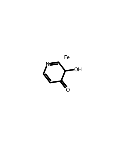 O=C1C=CN=CC1O.[Fe]